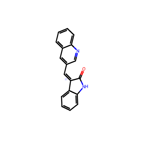 O=C1Nc2ccccc2/C1=C/c1cnc2ccccc2c1